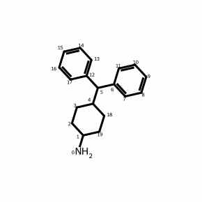 NC1CCC(C(c2ccccc2)c2ccccc2)CC1